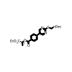 CCCCCCCCCCCSc1ncc(-c2ccc(C(=O)O[C@@H](C)C(=O)OCC)cc2)cn1